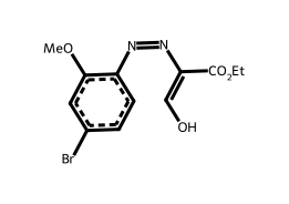 CCOC(=O)C(=CO)/N=N\c1ccc(Br)cc1OC